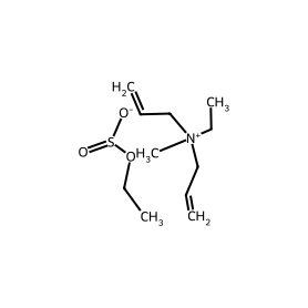 C=CC[N+](C)(CC)CC=C.CCOS(=O)[O-]